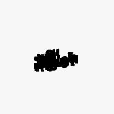 Cc1cc([C@H](C(=O)N2C[C@](C)(O)C[C@H]2C(=O)NCc2ccc(-c3scnc3C)cc2)C(C)C)on1